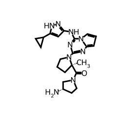 C[C@]1(C(=O)N2CC[C@H](N)C2)CCCN1c1nc(Nc2cc(C3CC3)[nH]n2)n2cccc2n1